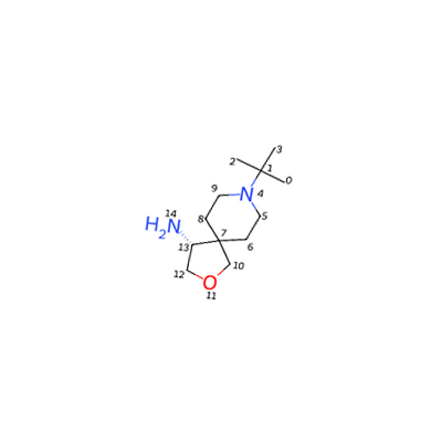 CC(C)(C)N1CCC2(CC1)COC[C@@H]2N